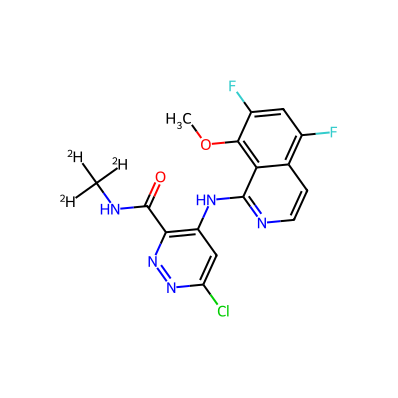 [2H]C([2H])([2H])NC(=O)c1nnc(Cl)cc1Nc1nccc2c(F)cc(F)c(OC)c12